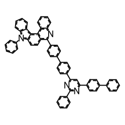 c1ccc(-c2ccc(-c3cc(-c4ccc(-c5ccc(-c6nc7ccccc7c7c6ccc6c7c7ccccc7n6-c6ccccc6)cc5)cc4)nc(-c4ccccc4)n3)cc2)cc1